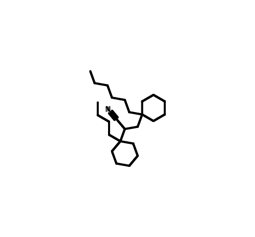 CCCCCCC1(CC(C#N)C2(CCCC)CCCCC2)CCCCC1